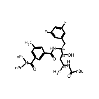 CCCCC(=O)N[C@@H](C)C[C@H](O)[C@H](Cc1cc(F)cc(F)c1)NC(=O)c1cc(C)cc(C(=O)N(CCC)CCC)c1